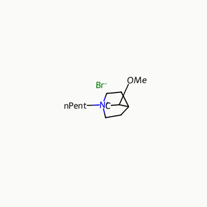 CCCCC[N+]12CCC(CC1)C(OC)C2.[Br-]